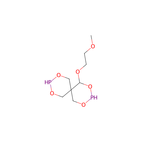 COCCOC1OPOCC12COPOC2